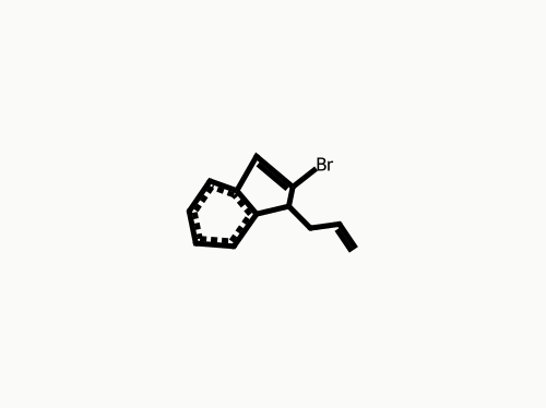 C=CCC1C(Br)=Cc2ccccc21